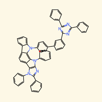 c1ccc(-c2nc(-c3ccccc3)nc(-c3cccc(-c4ccc(-n5c6ccccc6c6ccc7c8c(nc(-c9ccccc9)n8-c8ccccc8)n(-c8ccccc8)c7c65)cc4)c3)n2)cc1